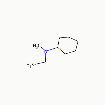 CN(C[SiH3])C1CCCCC1